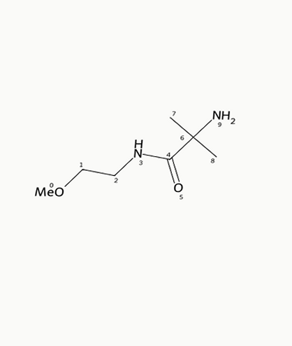 COCCNC(=O)C(C)(C)N